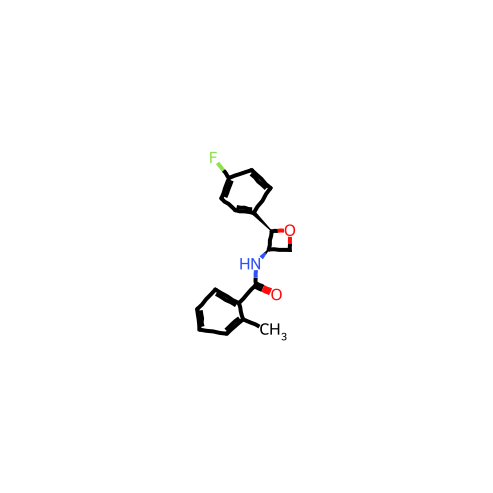 Cc1ccccc1C(=O)N[C@@H]1CO[C@@H]1c1ccc(F)cc1